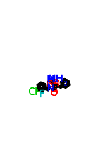 NC(=O)O[C@@H](Cc1ccccc1)C(=O)NCc1cccc(Cl)c1F